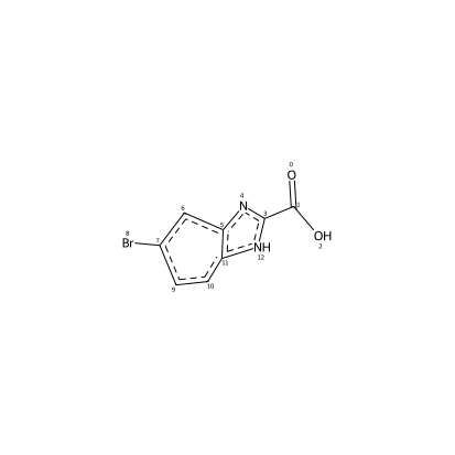 O=C(O)c1nc2cc(Br)ccc2[nH]1